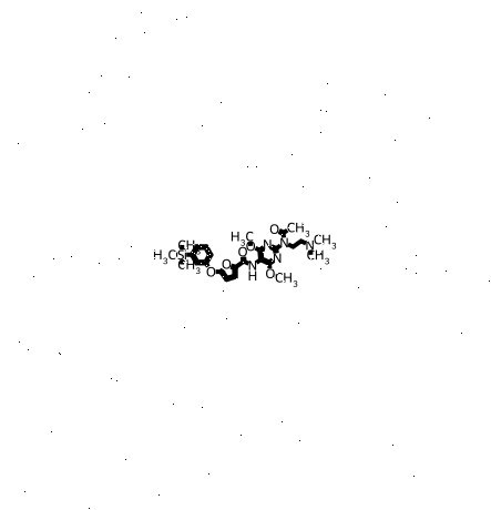 COc1nc(N(CCN(C)C)C(C)=O)nc(OC)c1NC(=O)c1ccc(Oc2cccc([Si](C)(C)C)c2)o1